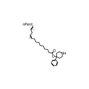 CCCCC/C=C/C/C=C\CCCCCCCCC(=O)OC1(c2ccccc2)CCNCC1